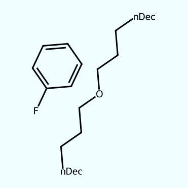 CCCCCCCCCCCCCOCCCCCCCCCCCCC.Fc1ccccc1